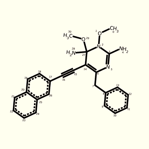 CON1C(N)=NC(Cc2ccccc2)=C(C#Cc2ccc3ccccc3c2)C1(N)OC